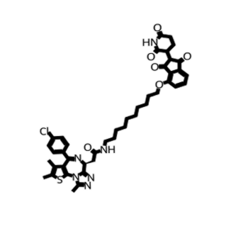 Cc1sc2c(c1C)C(c1ccc(Cl)cc1)=N[C@@H](CC(=O)NCCCCCCCCCCOc1cccc3c1C(=O)C(C1CCC(=O)NC1=O)C3=O)c1nnc(C)n1-2